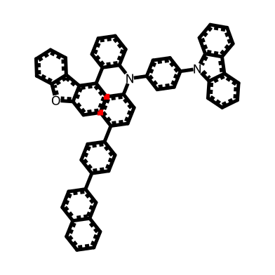 c1ccc(N(c2ccc(-c3ccc(-c4ccc5ccccc5c4)cc3)cc2)c2ccc(-n3c4ccccc4c4ccccc43)cc2)c(-c2cccc3oc4ccccc4c23)c1